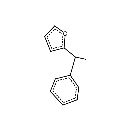 C[C](c1ccccc1)c1ccco1